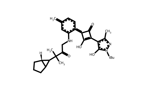 C=c1cc/c(=C2\C(=O)C(c3c(C)nn(C(C)(C)C)c3O)=C2O)c(NCC(=O)C(C)(C)C2C3CCC[C@@H]32)c1